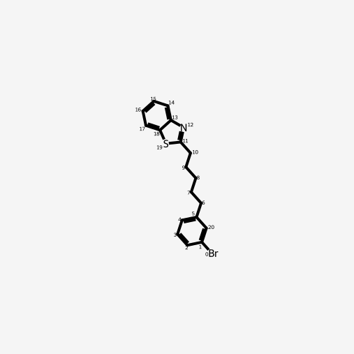 Brc1cccc(CCCCCc2nc3ccccc3s2)c1